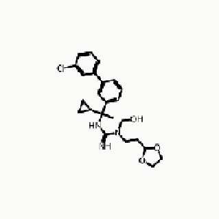 CC(NC(=N)N(CO)CCC1OCCO1)(c1cccc(-c2cccc(Cl)c2)c1)C1CC1